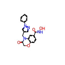 O=C(NO)c1ccc2c(c1)N(Cc1cnn(-c3ccccc3)c1)C(=O)CO2